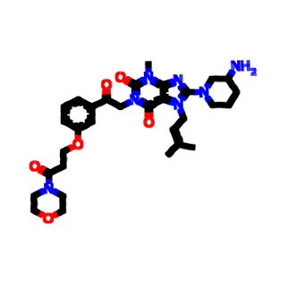 CC(C)=CCn1c(N2CCCC(N)C2)nc2c1c(=O)n(CC(=O)c1cccc(OCCC(=O)N3CCOCC3)c1)c(=O)n2C